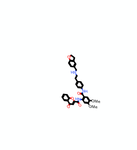 COc1cc(NC(=O)c2cc(=O)c3ccccc3o2)c(C(=O)Nc2ccc(CCNCc3ccc4c(c3)CCO4)cc2)cc1OC